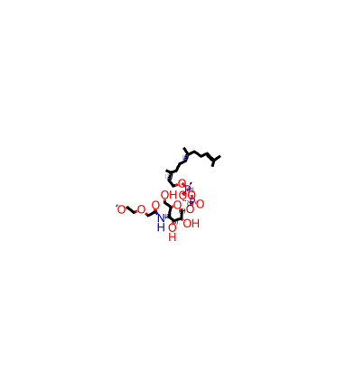 COCCOCC(=O)N[C@@H]1C(CO)O[C@H](O[P@](C)(=O)O[P@](C)(=O)OC/C=C(/C)CC/C=C(\C)CCC=C(C)C)C(O)[C@H]1O